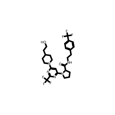 O=C(NCCc1ccc(C(F)(F)F)cc1)C1CCCN1c1cc(N2CCC(CCO)CC2)nc(C(F)(F)F)n1